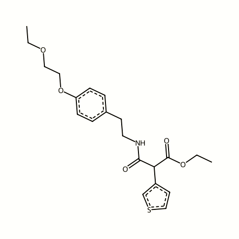 CCOCCOc1ccc(CCNC(=O)C(C(=O)OCC)c2ccsc2)cc1